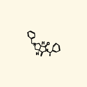 C=C1[C@H]2CN(Cc3ccccc3)C[C@H]2C(=O)N1[C@H](C)c1ccccc1